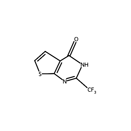 O=c1[nH]c(C(F)(F)F)nc2sccc12